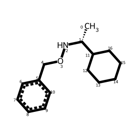 C[C@@H](NOCc1ccccc1)C1CCCCC1